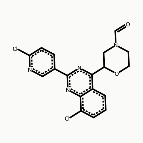 O=CN1CCOC(c2nc(-c3ccc(Cl)nc3)nc3c(Cl)cccc23)C1